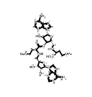 CSCC[C@H](NC[C@H]1O[C@@H](n2cnc3c(N)ncnc32)[C@H](O)[C@@H]1OC(=O)[C@H](CCSC)NC[C@H]1O[C@@H](n2cnc3c(N)ncnc32)[C@H](O)[C@@H]1O)C(=O)O